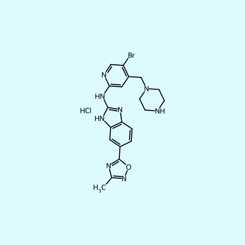 Cc1noc(-c2ccc3nc(Nc4cc(CN5CCNCC5)c(Br)cn4)[nH]c3c2)n1.Cl